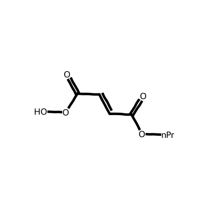 CCCOC(=O)C=CC(=O)OO